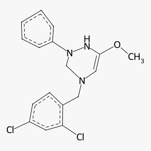 COC1=CN(Cc2ccc(Cl)cc2Cl)CN(c2ccccc2)N1